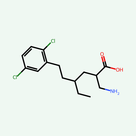 CCC(CCc1cc(Cl)ccc1Cl)CC(CN)C(=O)O